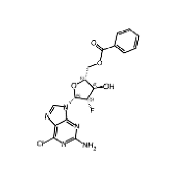 Nc1nc(Cl)c2ncn([C@@H]3O[C@H](COC(=O)c4ccccc4)[C@@H](O)[C@@H]3F)c2n1